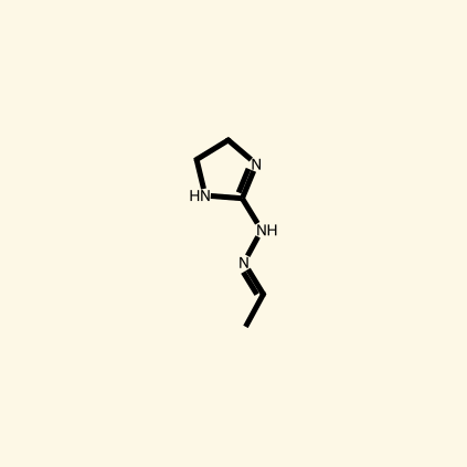 CC=NNC1=NCCN1